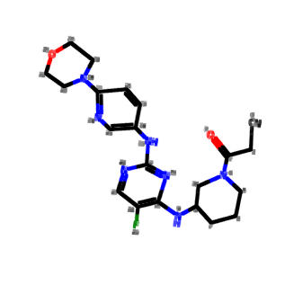 N#CCC(=O)N1CCCC(Nc2nc(Nc3ccc(N4CCOCC4)nc3)ncc2F)C1